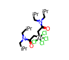 CC(C)CN(CC(C)C)C(=O)[CH2][Zr]([Cl])([Cl])([Cl])([Cl])[CH2]C(=O)N(CC(C)C)CC(C)C